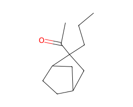 CCCC1(C(C)=O)CC2CCC1C2